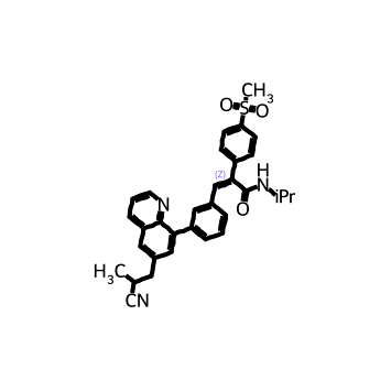 CC(C#N)Cc1cc(-c2cccc(/C=C(\C(=O)NC(C)C)c3ccc(S(C)(=O)=O)cc3)c2)c2ncccc2c1